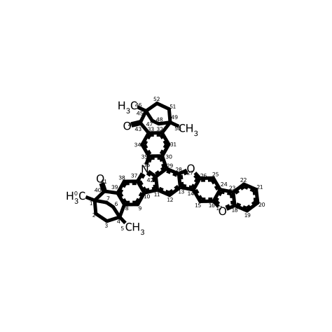 CC12CCC(C)(CC1)c1cc3c4cc5c6cc7oc8ccccc8c7cc6oc5c5c6cc7c(cc6n(c3cc1C2=O)c45)C(=O)C1(C)CCC7(C)CC1